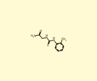 Cc1ccccc1NC(=S)NCC(N)=O